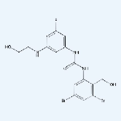 O=C(Nc1cc(F)cc(NCCO)c1)Nc1cc(Br)cc(Br)c1CO